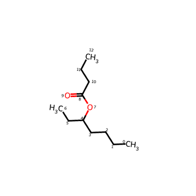 CCCCC(CC)OC(=O)CCC